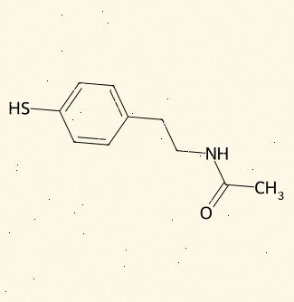 CC(=O)NCCc1ccc(S)cc1